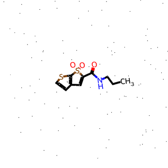 CCCNC(=O)C1=Cc2ccsc2S1(=O)=O